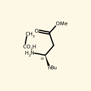 CC(=O)O.CCCC[C@@H](N)CC(=O)OC